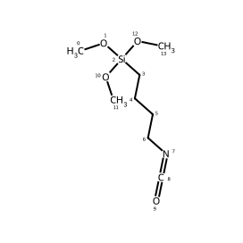 CO[Si](CCCCN=C=O)(OC)OC